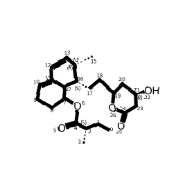 CC[C@H](C)C(=O)OC1CCC=C2C=C[C@H](C)[C@H](CCC3C[C@@H](O)CC(=O)O3)C21